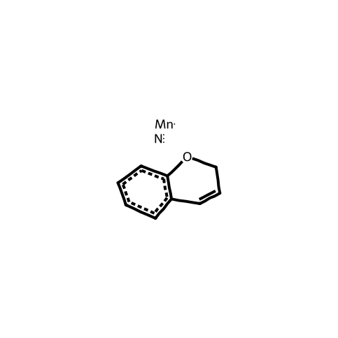 C1=Cc2ccccc2OC1.[Mn].[N]